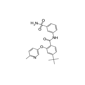 Cc1ccc(Oc2cc(C(C)(C)C)ccc2C(=O)Nc2cccc(S(N)(=O)=O)c2)cn1